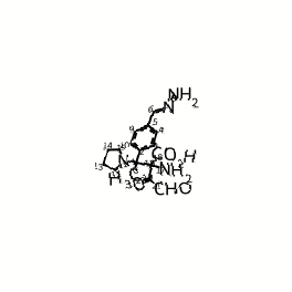 CC(c1ccc(C=NN)cc1)(N1CCCC1)C(N)(C(=O)O)C(=O)C=O